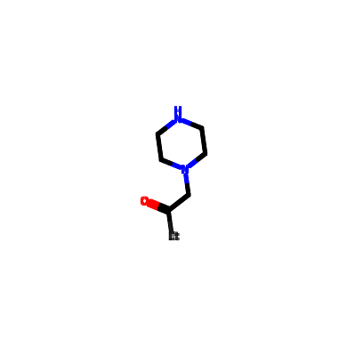 CCC(=O)CN1CCNCC1